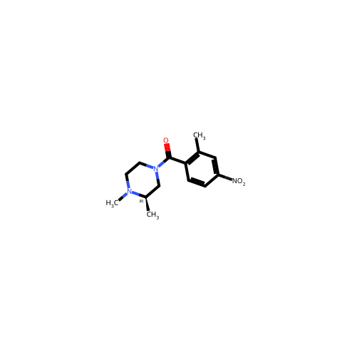 Cc1cc([N+](=O)[O-])ccc1C(=O)N1CCN(C)[C@H](C)C1